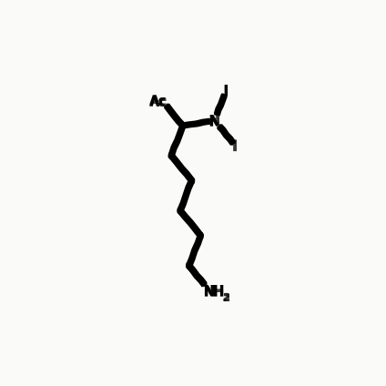 CC(=O)C(CCCCCN)N(I)I